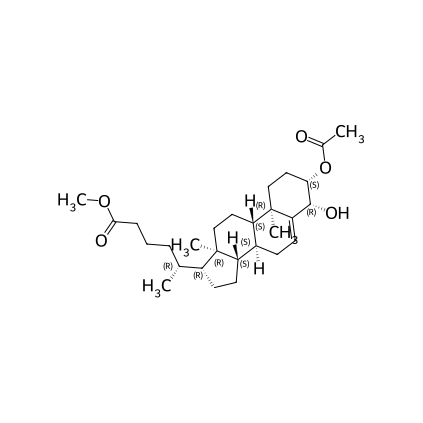 COC(=O)CCC[C@@H](C)[C@H]1CC[C@H]2[C@@H]3CC=C4[C@@H](O)[C@@H](OC(C)=O)CC[C@]4(C)[C@H]3CC[C@]12C